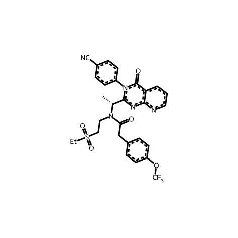 CCS(=O)(=O)CCN(C(=O)Cc1ccc(OC(F)(F)F)cc1)[C@H](C)c1nc2ncccc2c(=O)n1-c1ccc(C#N)cc1